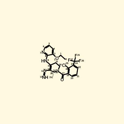 CCOc1cccnc1NC1=C(N=N)[C@@H](C)N(C(=O)c2cccc(C(F)(F)F)c2Cl)CC1